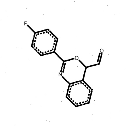 O=CC1OC(c2ccc(F)cc2)=Nc2ccccc21